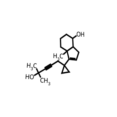 CC(C)(O)C#CCC1(C2=CCC3C(O)CCCC23C)CC1